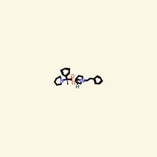 C[C@](C(=O)O[C@H]1C[N+]2(CCc3ccccc3)CCC1CC2)(c1ccccc1)N1CCCCC1